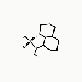 CCS(=O)(=O)N(C)C1CCCC2CCCCC21